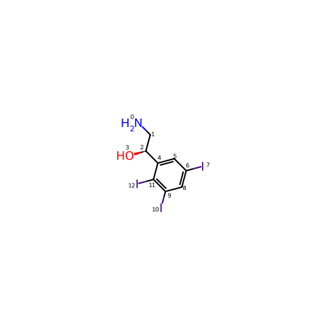 NC[C@H](O)c1cc(I)cc(I)c1I